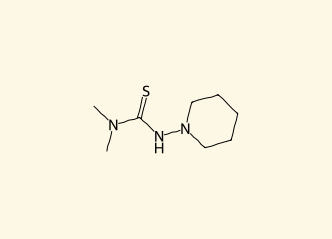 CN(C)C(=S)NN1CCCCC1